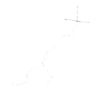 CC(C)(C)OCCCN(CCF)CCF